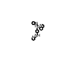 c1ccc(CNCc2ccc(CN(Cc3nc4ccccc4s3)C3CCCc4cccnc43)cc2)nc1